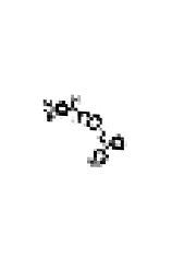 CS(=O)(=O)c1ccc(NC(=O)CC2CCN(CCN(C3C=CC=CC3)C3CCNCC3)CC2)cc1